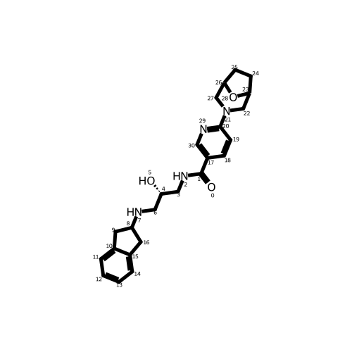 O=C(NC[C@@H](O)CNC1Cc2ccccc2C1)c1ccc(N2CC3CCC(C2)O3)nc1